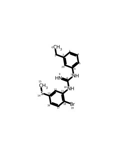 CCc1cccc(NC(=N)Nc2cc(SC)ccc2Br)c1